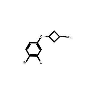 N[C@H]1C[C@H](Oc2ccc(Br)c(Cl)c2)C1